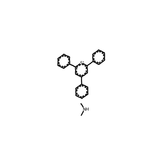 CNC.c1ccc(-c2cc(-c3ccccc3)[s+]c(-c3ccccc3)c2)cc1